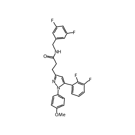 COc1ccc(-n2nc(CCC(=O)NCc3cc(F)cc(F)c3)cc2-c2cccc(F)c2F)cc1